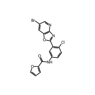 O=C(Nc1ccc(Cl)c(-c2nc3ncc(Br)cc3o2)c1)c1ccco1